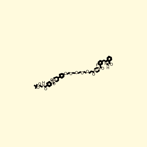 CC(C)(C)OC(=O)CNC(=O)c1ccc(S(=O)(=O)N2CCC(c3ccc(OCCOCCOCCOCCOCCC(=O)N4CCN(C(=O)c5cc(Cc6n[nH]c(=O)c7ccccc67)ccc5F)CC4)cc3)CC2)cc1